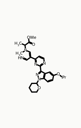 COC(=O)C(C)N(C)/C=C(\C=N)c1ccnc(-c2nn(C3CCCCO3)c3ccc(OC(C)C)cc23)n1